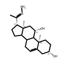 CC(=NN)[C@H]1CCC2C3CC=C4C[C@@H](O)CC[C@]4(C)C3[C@@H](O)C[C@@]21C